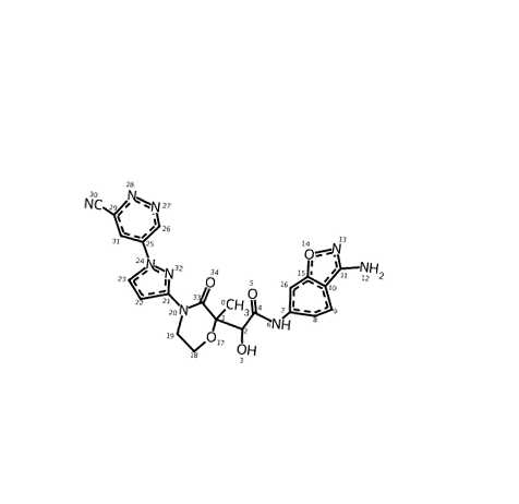 CC1(C(O)C(=O)Nc2ccc3c(N)noc3c2)OCCN(c2ccn(-c3cnnc(C#N)c3)n2)C1=O